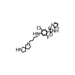 O=S(=O)(Nc1nccs1)c1cc(Cl)c(NCCCCN2CCC3(CCNC3)C2)cc1F